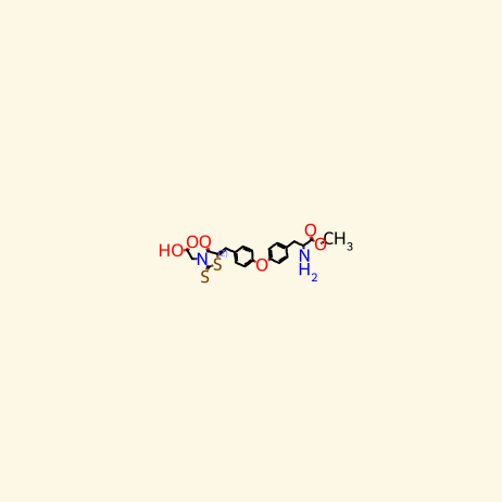 COC(=O)C(N)Cc1ccc(Oc2ccc(/C=C3\SC(=S)N(CC(=O)O)C3=O)cc2)cc1